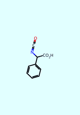 O=C=NC(C(=O)O)c1ccccc1